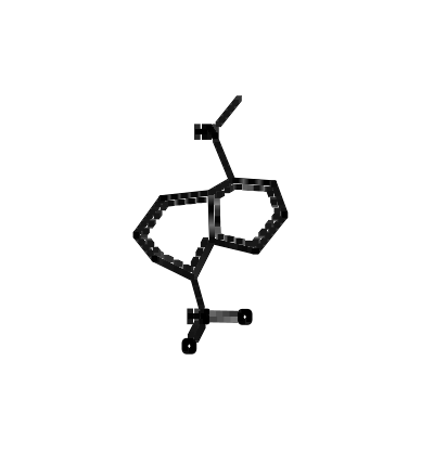 CNc1cccc2c([SH](=O)=O)cccc12